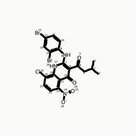 CC(C)CC(=O)c1c(Nc2ccc(Br)cc2Br)[nH]c2c(Cl)ccc([N+](=O)[O-])c2c1=O